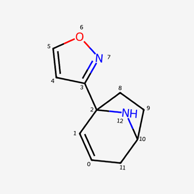 C1=CC2(c3ccon3)CCC(C1)N2